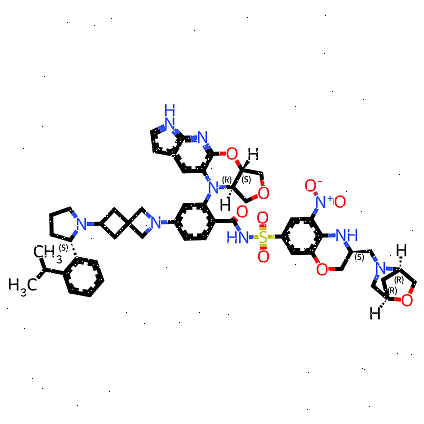 CC(C)c1ccccc1[C@@H]1CCCN1C1CC2(C1)CN(c1ccc(C(=O)NS(=O)(=O)c3cc4c(c([N+](=O)[O-])c3)N[C@@H](CN3C[C@H]5C[C@@H]3CO5)CO4)c(N3c4cc5cc[nH]c5nc4O[C@@H]4COC[C@H]43)c1)C2